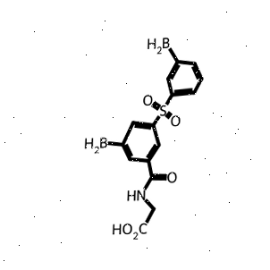 Bc1cccc(S(=O)(=O)c2cc(B)cc(C(=O)NCC(=O)O)c2)c1